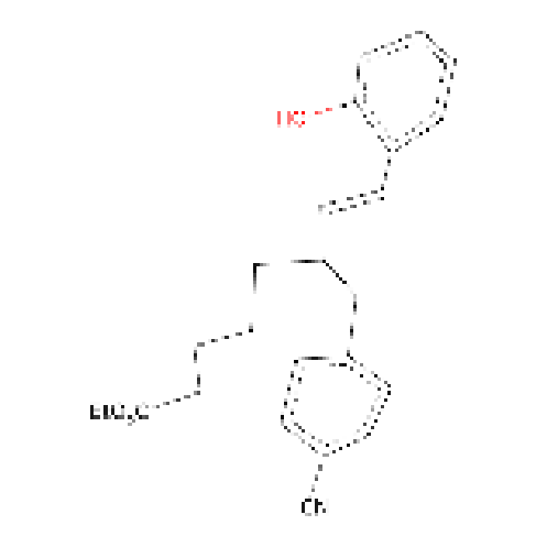 CCOC(=O)CCCCC(C=Cc1ccccc1O)Cc1ccc(C#N)cc1